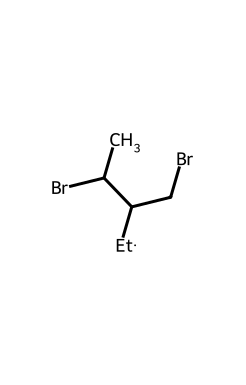 C[CH]C(CBr)C(C)Br